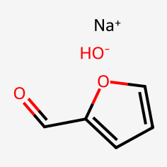 O=Cc1ccco1.[Na+].[OH-]